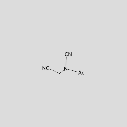 CC(=O)N(C#N)CC#N